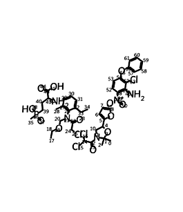 CC1(C)OC(c2ccco2)CN1C(=O)C(Cl)Cl.CCOCN(C(=O)CCl)c1c(C)cccc1CC.CP(=O)(O)CCC(N)C(=O)O.Nc1c([N+](=O)[O-])ccc(Oc2ccccc2)c1Cl